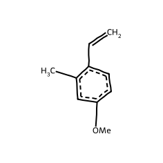 C=Cc1ccc(OC)cc1C